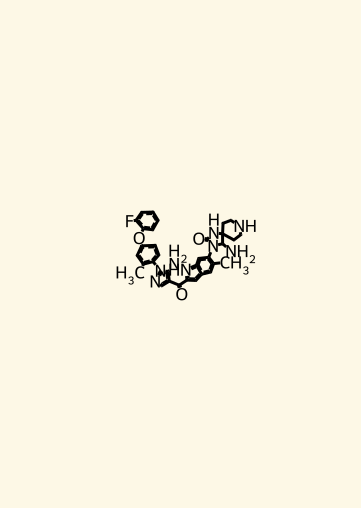 Cc1cc2cc(C(=O)c3cnn(-c4ccc(Oc5ccccc5F)cc4C)c3N)[nH]c2cc1N1C(=O)NC2(CCNCC2)C1N